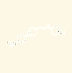 Nc1ccc(N2CCC(CCOC3CCNCC3)CC2)cc1